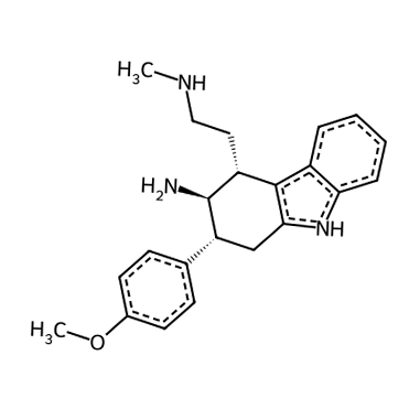 CNCC[C@@H]1c2c([nH]c3ccccc23)C[C@H](c2ccc(OC)cc2)[C@H]1N